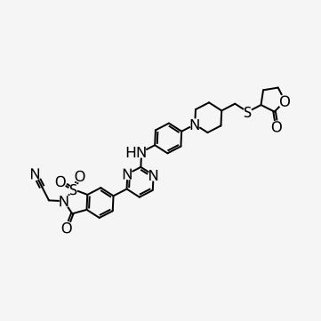 N#CCN1C(=O)c2ccc(-c3ccnc(Nc4ccc(N5CCC(CSC6CCOC6=O)CC5)cc4)n3)cc2S1(=O)=O